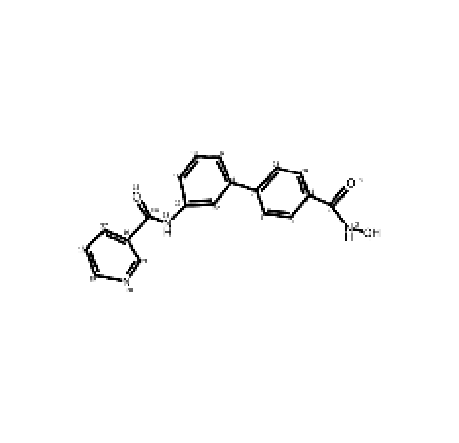 O=C(NO)c1ccc(-c2cccc(NC(=O)c3cccnc3)c2)cc1